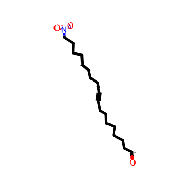 O=[C]CCCCCCCC#CCCCCCCCC[N+](=O)[O-]